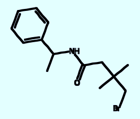 CC(NC(=O)CC(C)(C)CBr)c1ccccc1